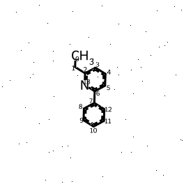 CCc1cccc(-c2ccccc2)n1